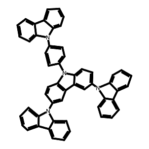 c1ccc2c(c1)c1ccccc1n2-c1ccc(-n2c3ccc(-n4c5ccccc5c5ccccc54)cc3c3cc(-n4c5ccccc5c5ccccc54)ccc32)cc1